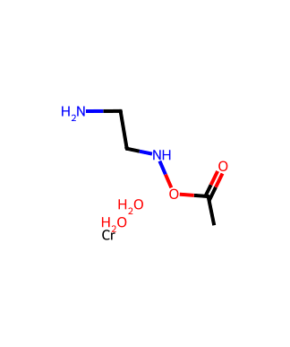 CC(=O)ONCCN.O.O.[Cr]